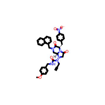 C#CCN(C(=O)NCc1ccc(OC)cc1)N1CC(=O)N2[C@@H](Cc3ccc([N+](=O)[O-])cc3)C(=O)N(Cc3cccc4ccccc34)C[C@@H]21